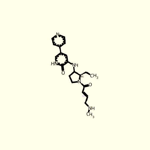 CC[C@@H]1C(Nc2cc(-c3ccncc3)c[nH]c2=O)CCN1C(=O)/C=C/CNC